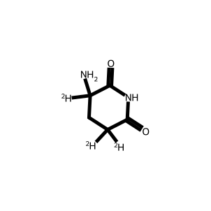 [2H]C1([2H])CC([2H])(N)C(=O)NC1=O